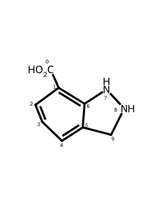 O=C(O)c1cccc2c1NNC2